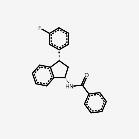 O=C(N[C@H]1C[C@@H](c2cccc(F)c2)c2ccccc21)c1ccccc1